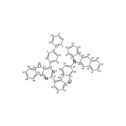 c1ccc(-c2ccc(-c3nc(-c4cccc5oc6cc(-n7c8ccccc8c8cc9ccccc9cc87)ccc6c45)nc4c3oc3ccccc34)cc2)cc1